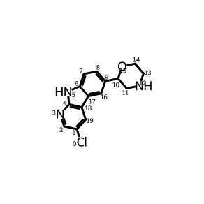 Clc1cnc2[nH]c3ccc(C4CNCCO4)cc3c2c1